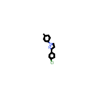 Cc1ccc(-n2ccc(-c3ccc(Cl)cc3)n2)cc1